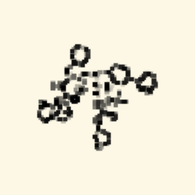 CC(C)(C)[C@H](NC(=O)OC1CCOC1)C(=O)NN(Cc1ccc(-c2cccnc2)cc1)C[C@H](O)[C@H](Cc1ccccc1)NC(=O)OC1C2COC3OCC1C3C2